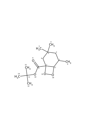 CC1CC(C)(C)CC2(C(=O)OC(C)(C)C)OOC12